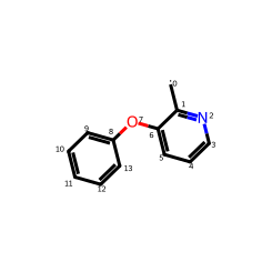 [CH2]c1ncccc1Oc1ccccc1